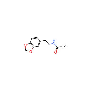 CCCC(=O)NCCc1ccc2c(c1)OCO2